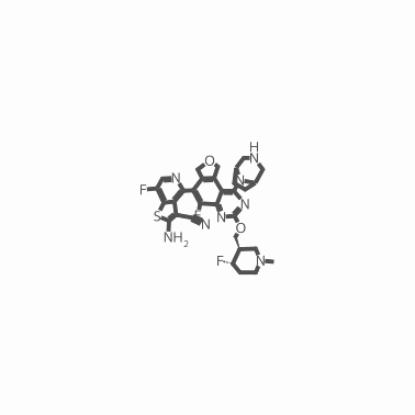 CN1CC[C@H](F)[C@@H](COc2nc(N3C4CCC3CNC4)c3c4c(c(-c5ncc(F)c6sc(N)c(C#N)c56)c(F)c3n2)COC4)C1